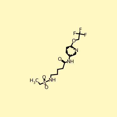 CCS(=O)(=O)NCCCCC(=O)Nc1ccc(OCC(F)(F)F)nc1